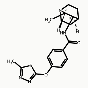 Cc1nnc(Oc2ccc(C(=O)N[C@@H]3C4CCN(CC4)[C@H]3C)cc2)s1